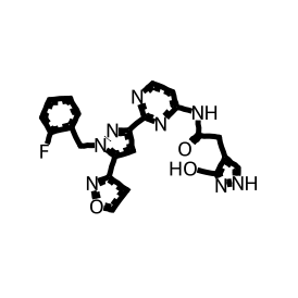 O=C(Cc1c[nH]nc1O)Nc1ccnc(-c2cc(-c3ccon3)n(Cc3ccccc3F)n2)n1